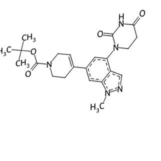 Cn1ncc2c(N3CCC(=O)NC3=O)cc(C3=CCN(C(=O)OC(C)(C)C)CC3)cc21